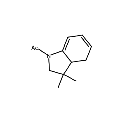 CC(=O)N1CC(C)(C)C2CC=[C]C=C21